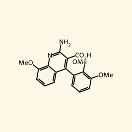 COc1cccc(-c2c(C(=O)O)c(N)nc3c(OC)cccc23)c1OC